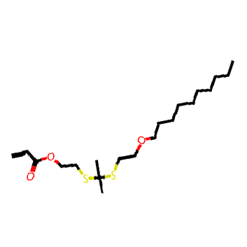 C=CC(=O)OCCSC(C)(C)SCCOCCCCCCCCCC